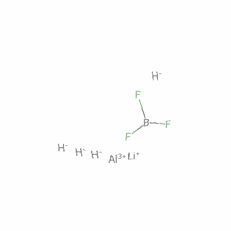 FB(F)F.[Al+3].[H-].[H-].[H-].[H-].[Li+]